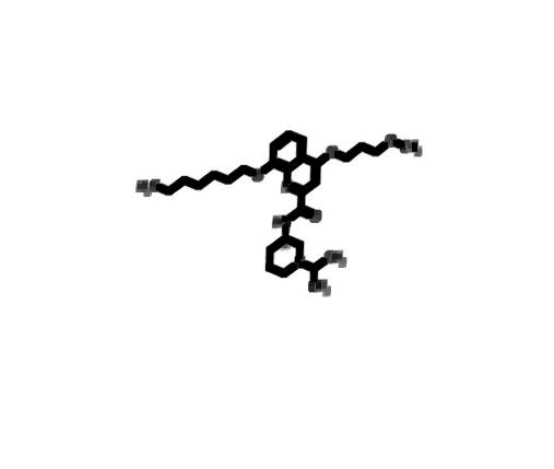 CCCCCCCOc1cccc2c(OCCCOC)cc(C(=O)N[C@@H]3CCCN(C(C)C)C3)nc12